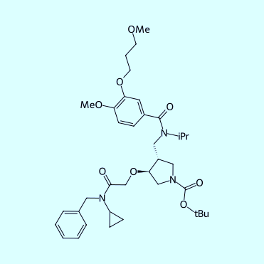 COCCCOc1cc(C(=O)N(C[C@@H]2CN(C(=O)OC(C)(C)C)C[C@H]2OCC(=O)N(Cc2ccccc2)C2CC2)C(C)C)ccc1OC